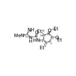 CCOc1cc(CC)c(NC(=O)NC(=N)NC)c(CC)c1OCC